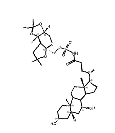 C[C@H](CCC(=O)NS(=O)(=O)OC[C@@]12OC[C@H]3OC(C)(C)O[C@H]3C1CC(C)(C)O2)[C@H]1CCC2C3C(CC[C@@]21C)[C@@]1(C)CC[C@@H](O)C[C@H]1C[C@@H]3O